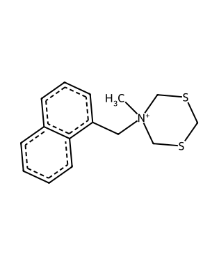 C[N+]1(Cc2cccc3ccccc23)CSCSC1